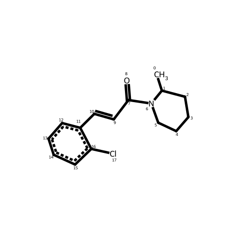 CC1CCCCN1C(=O)C=Cc1ccccc1Cl